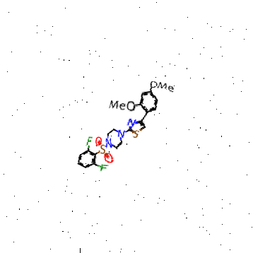 COc1ccc(-c2csc(N3CCN(S(=O)(=O)c4c(F)cccc4F)CC3)n2)c(OC)c1